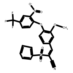 COc1cc(C=C(C#N)S(=O)(=O)c2ccccc2)ccc1Oc1ccc(C(F)(F)F)cc1[N+](=O)[O-]